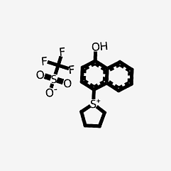 O=S(=O)([O-])C(F)(F)F.Oc1ccc([S+]2CCCC2)c2ccccc12